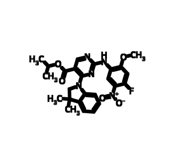 COc1cc(F)c([N+](=O)[O-])cc1Nc1ncc(C(=O)OC(C)C)c(N2CC(C)(C)c3ccccc32)n1